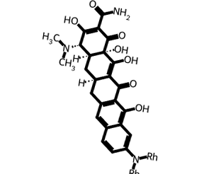 CN(C)[C@@H]1C(O)=C(C(N)=O)C(=O)[C@@]2(O)C(O)=C3C(=O)c4c(cc5ccc([N]([Rh])[Rh])cc5c4O)C[C@H]3C[C@@H]12